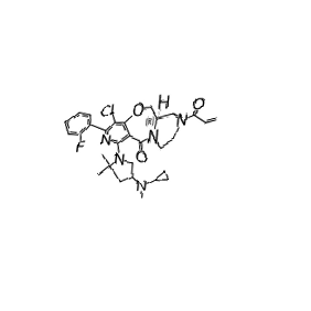 C=CC(=O)N1CCN2C(=O)c3c(N4CC(N(C)C5CC5)CC4(C)C)nc(-c4ccccc4F)c(Cl)c3OC[C@H]2C1